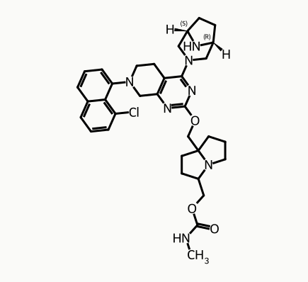 CNC(=O)OCC1CCC2(COc3nc4c(c(N5C[C@H]6CC[C@@H](C5)N6)n3)CCN(c3cccc5cccc(Cl)c35)C4)CCCN12